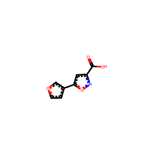 O=C(O)c1cc(-c2ccoc2)on1